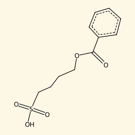 O=C(OCCCCS(=O)(=O)O)c1ccccc1